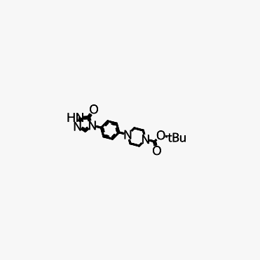 CC(C)(C)OC(=O)N1CCN(c2ccc(-n3cn[nH]c3=O)cc2)CC1